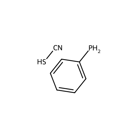 N#CS.Pc1ccccc1